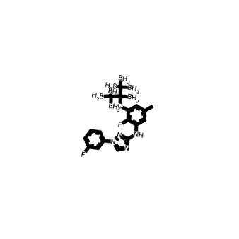 BC(B)(B)C(B)(Oc1cc(C)cc(Nc2ncn(-c3cccc(F)c3)n2)c1F)C(B)(B)B